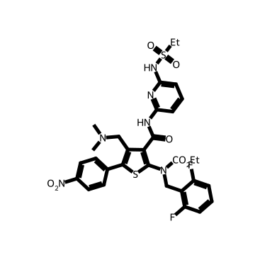 CCOC(=O)N(Cc1c(F)cccc1F)c1sc(-c2ccc([N+](=O)[O-])cc2)c(CN(C)C)c1C(=O)Nc1cccc(NS(=O)(=O)CC)n1